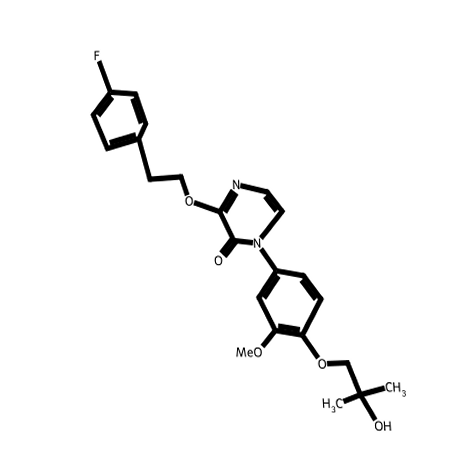 COc1cc(-n2ccnc(OCCc3ccc(F)cc3)c2=O)ccc1OCC(C)(C)O